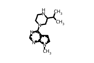 CC(C)C1CN(c2ncnc3c2ccn3C)CCN1